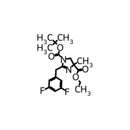 CCOC(=O)C1(C)CN(C(=O)OC(C)(C)C)C(Cc2cc(F)cc(F)c2)=N1